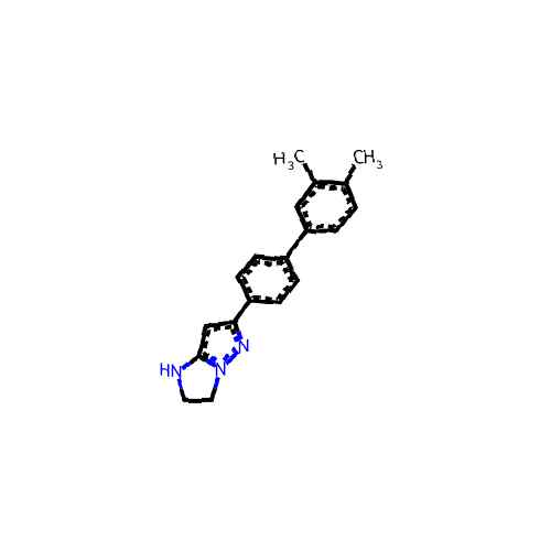 Cc1ccc(-c2ccc(-c3cc4n(n3)CCN4)cc2)cc1C